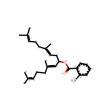 CC(C)=CCC/C(C)=C/CC(/C=C(\C)CCC=C(C)C)OC(=O)c1ccccc1[N+](=O)[O-]